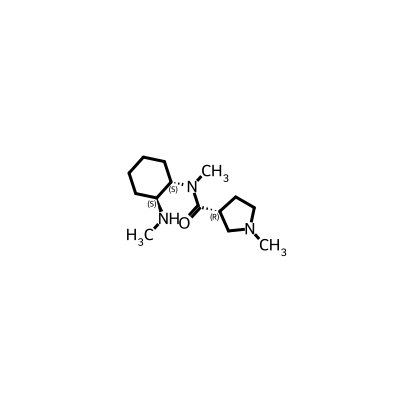 CN[C@H]1CCCC[C@@H]1N(C)C(=O)[C@@H]1CCN(C)C1